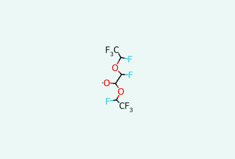 [O]C(OC(F)C(F)(F)F)C(F)OC(F)C(F)(F)F